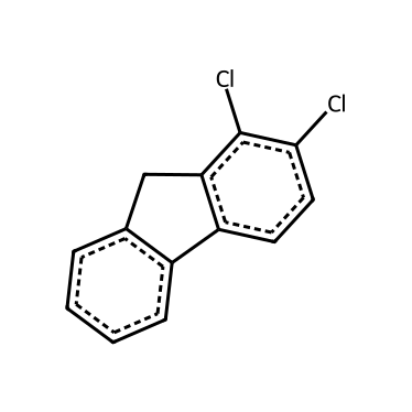 Clc1ccc2c(c1Cl)Cc1ccccc1-2